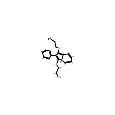 CC(C)CCSc1c(-c2ccccc2)c(SCCC(C)C)n2ccccc12